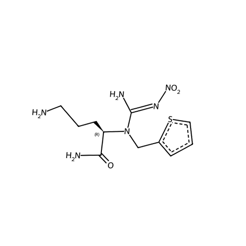 NCCC[C@H](C(N)=O)N(Cc1cccs1)C(N)=N[N+](=O)[O-]